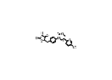 CCc1ccc([C@H](COC(C)=O)COc2ccc(CC3SC(=O)NC3=O)cc2)nc1